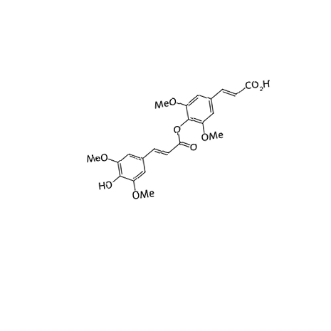 COc1cc(C=CC(=O)Oc2c(OC)cc(C=CC(=O)O)cc2OC)cc(OC)c1O